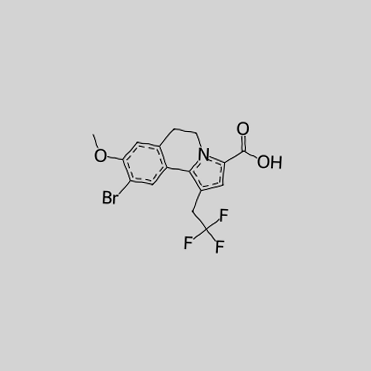 COc1cc2c(cc1Br)-c1c(CC(F)(F)F)cc(C(=O)O)n1CC2